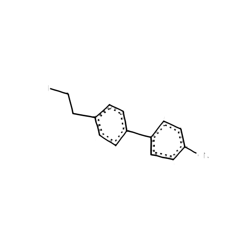 N#Cc1ccc(-c2ccc(CCI)cc2)cc1